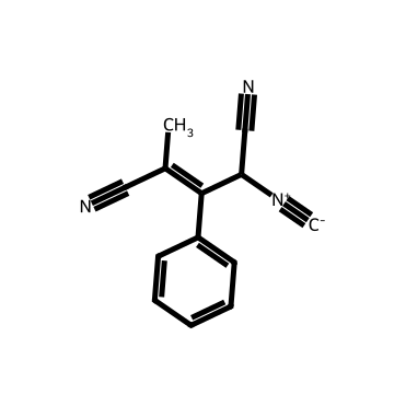 [C-]#[N+]C(C#N)/C(=C(\C)C#N)c1ccccc1